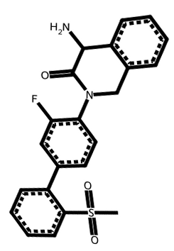 CS(=O)(=O)c1ccccc1-c1ccc(N2Cc3ccccc3C(N)C2=O)c(F)c1